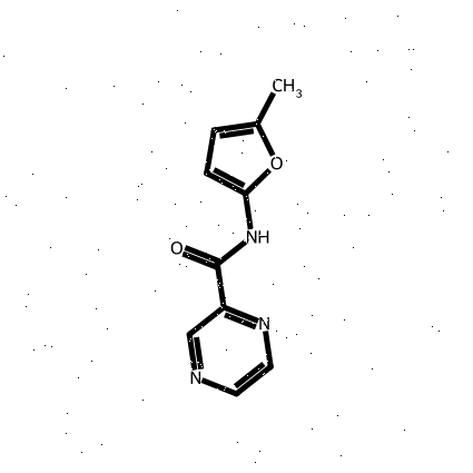 Cc1ccc(NC(=O)c2cnccn2)o1